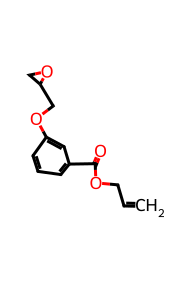 C=CCOC(=O)c1cccc(OCC2CO2)c1